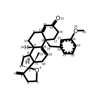 C=C1CCO[C@@]12CC[C@H]1[C@@H]3CCC4=CC(=O)CC[C@]4(Cc4cccc(OC)c4)C3=CC[C@@]12C